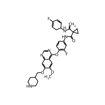 C=C(NC1C=CC(F)=CC1)C1(C(=O)Nc2ccc(Oc3ncnc4cc(OCC5CCNCC5)c(OC)cc34)c(F)c2)CC1